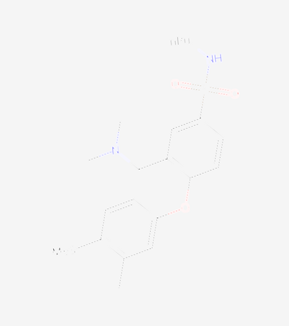 CCCCNS(=O)(=O)c1ccc(Oc2ccc(SC)c(C)c2)c(CN(C)C)c1